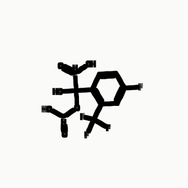 O=[PH](O)OC(O)(c1ccc(F)cc1C(F)(F)F)[PH](=O)O